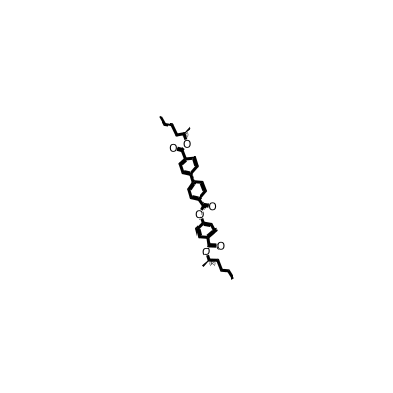 CCCC[C@@H](C)OC(=O)c1ccc(OC(=O)c2ccc(-c3ccc(C(=O)O[C@H](C)CCCC)cc3)cc2)cc1